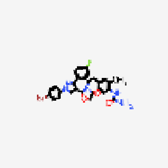 Cc1cc(CCN2C(=O)COC2c2cn(-c3ccc(Br)cc3)nc2-c2ccc(F)cc2)ccc1NC(N)=O